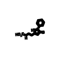 O=C(O)NCCc1cc(=O)n(-c2ccccc2)[nH]1